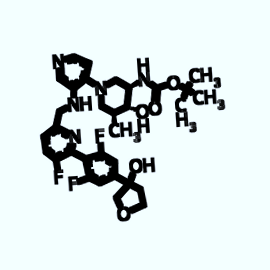 C[C@H]1CN(c2ccncc2NCc2ccc(F)c(-c3c(F)cc(C4(O)CCOC4)cc3F)n2)C[C@@H](NC(=O)OC(C)(C)C)[C@@H]1O